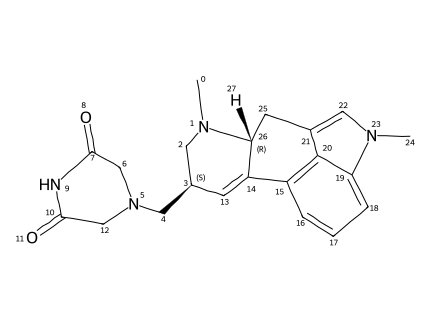 CN1C[C@H](CN2CC(=O)NC(=O)C2)C=C2c3cccc4c3c(cn4C)C[C@H]21